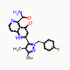 Cc1c(C(C)(C)C)nn(Cc2ccc(F)cc2)c1-c1cc(=O)c2c(C(N)=O)nccc2[nH]1